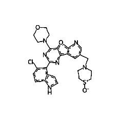 [O-][S+]1CCN(Cc2cnc3oc4c(N5CCOCC5)nc(-c5c(Cl)ccc6[nH]ccc56)nc4c3c2)CC1